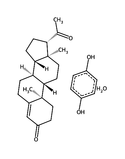 CC(=O)[C@H]1CC[C@H]2[C@@H]3CCC4=CC(=O)CC[C@]4(C)[C@H]3CC[C@]12C.O.Oc1ccc(O)cc1